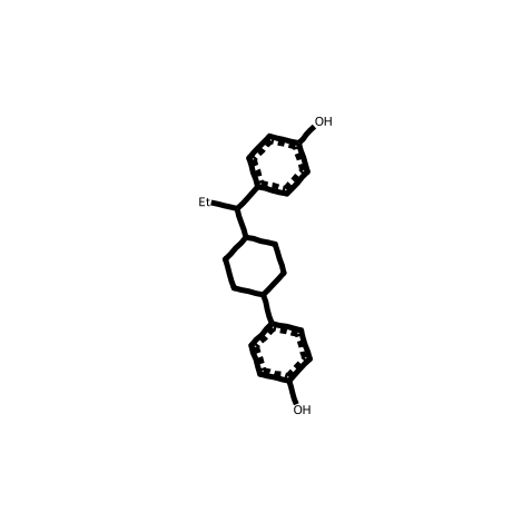 CCC(c1ccc(O)cc1)C1CCC(c2ccc(O)cc2)CC1